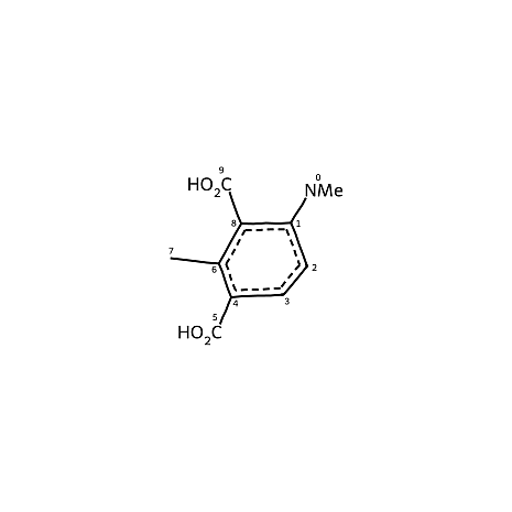 CNc1ccc(C(=O)O)c(C)c1C(=O)O